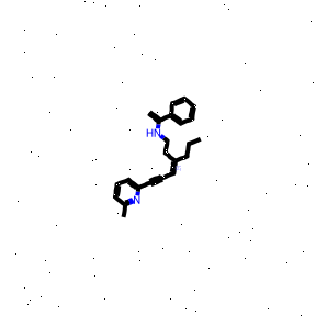 C=C(NCC/C(=C\C#Cc1cccc(C)n1)CCC)c1ccccc1